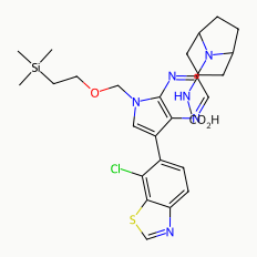 C[Si](C)(C)CCOCn1cc(-c2ccc3ncsc3c2Cl)c2ncc(N3C4CCC3CC(NC(=O)O)C4)nc21